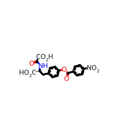 O=C(O)C(=O)N[C@H](Cc1ccc(OC(=O)c2ccc([N+](=O)[O-])cc2)cc1)C(=O)O